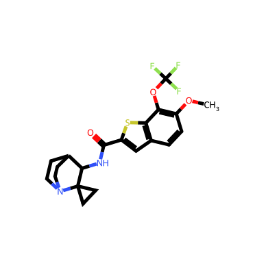 COc1ccc2cc(C(=O)NC3C4CCN(CC4)C34CC4)sc2c1OC(F)(F)F